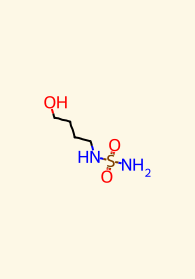 NS(=O)(=O)NCCCCO